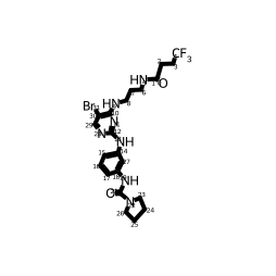 O=C(CCC(F)(F)F)NCCCNc1nc(Nc2cccc(NC(=O)N3CCCC3)c2)ncc1Br